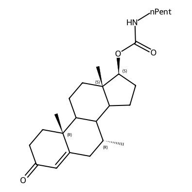 CCCCCNC(=O)O[C@H]1CCC2C3C(CC[C@@]21C)[C@@]1(C)CCC(=O)C=C1C[C@H]3C